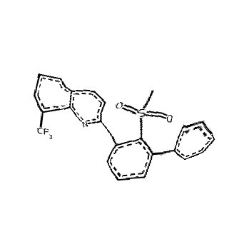 CS(=O)(=O)c1c(-c2ccccc2)cccc1-c1ccc2cccc(C(F)(F)F)c2n1